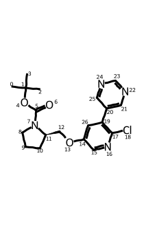 CC(C)(C)OC(=O)N1CCC[C@@H]1COc1cnc(Cl)c(-c2cncnc2)c1